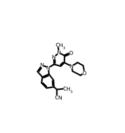 CC(C#N)c1ccc2cnn(-c3cc(N4CCOCC4)c(=O)n(C)n3)c2c1